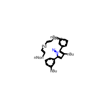 CCCCC1=C(c2cccc(CCCC)c2)[N+](=[N-])C(c2cccc(CCCC)c2)=C1.CCCCCCCCCC=[CH][Pd][CH]=CCCCCCCCCC